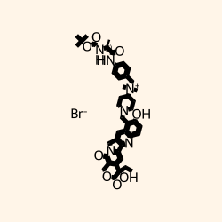 CC[C@@]1(O)C(=O)OCc2c1cc1n(c2=O)Cc2cc3c(CN4CCC([N+](C)(C)Cc5ccc(NC(=O)[C@H](C)NC(=O)OC(C)(C)C)cc5)CC4)c(O)ccc3nc2-1.[Br-]